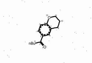 CCCCC(=O)c1ccc2c(c1)CCCO2